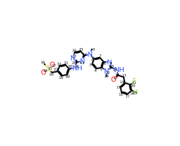 CN(c1ccc2c(c1)nc(NC(=O)Cc1cccc(F)c1F)n2C)c1ccnc(Nc2ccc(CS(C)(=O)=O)cc2)n1